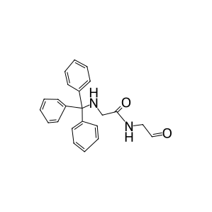 O=CCNC(=O)CNC(c1ccccc1)(c1ccccc1)c1ccccc1